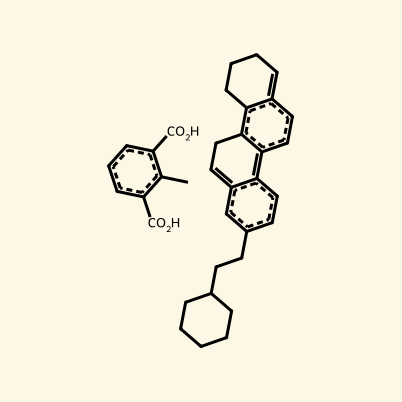 C1=c2ccc3c(c2CCC1)CC=c1cc(CCC2CCCCC2)ccc1=3.Cc1c(C(=O)O)cccc1C(=O)O